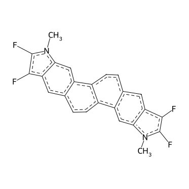 Cn1c(F)c(F)c2cc3ccc4c5cc6c(cc5ccc4c3cc21)c(F)c(F)n6C